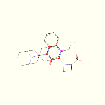 CCC1CC2CC(C1)CC(N1C3COCC1CC(n1c(=O)c(N4CCC4C(=O)O)nc4ccccc41)C3)C2